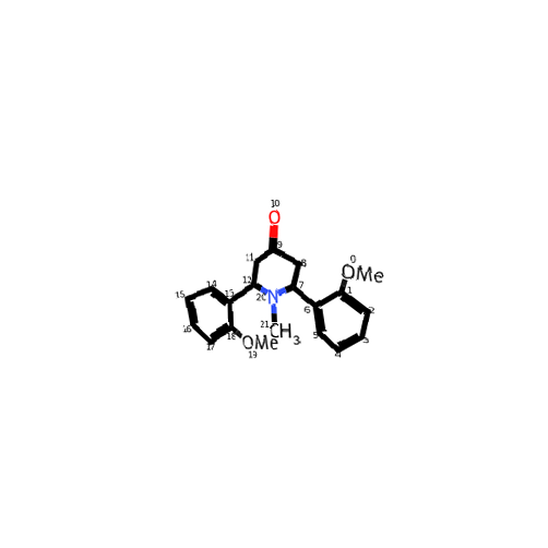 COc1ccccc1C1CC(=O)CC(c2ccccc2OC)N1C